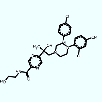 C[C@@](O)(CN1CCN(c2ccc(C#N)cc2Cl)[C@H](c2ccc(Cl)cc2)C1)c1cnc(C(=O)NCCO)cn1